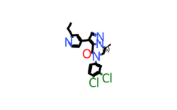 CCc1cc(-c2cnn3c2C(=O)N(c2ccc(Cl)c(Cl)c2)C[C@@H]3C)ccn1